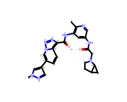 Cc1ncc(NC(=O)CN2CCC3CC32)cc1NC(=O)c1nnn2cc(-c3cnn(C)c3)ccc12